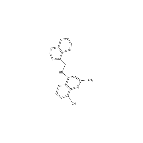 Cc1cc(NCc2cccc3ccccc23)c2cccc(C#N)c2n1